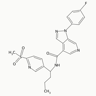 CCCC(NC(=O)c1cncc2c1cnn2-c1ccc(F)cc1)c1ccc(S(C)(=O)=O)nc1